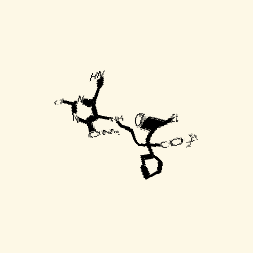 CCOC(=O)C(CCCNc1c(C=N)nc(Cl)nc1OC)(C(=O)CC)c1ccccc1